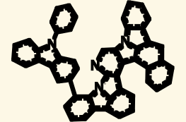 c1ccc(-n2c3ccccc3c3cc(-c4cccc5c6cccc7c8c9c%10c%11ccccc%11cc%11c%12ccccc%12n(c9cnc8n(c45)c67)c%11%10)ccc32)cc1